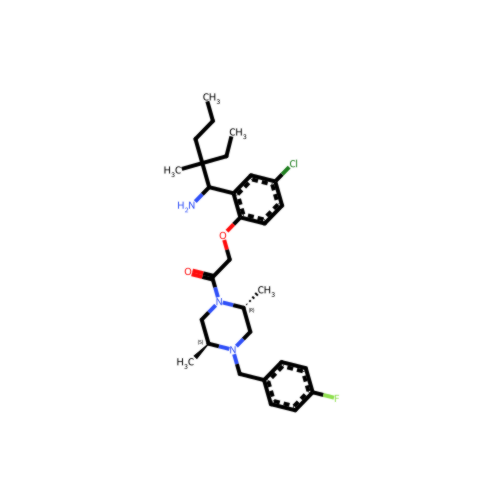 CCCC(C)(CC)C(N)c1cc(Cl)ccc1OCC(=O)N1C[C@H](C)N(Cc2ccc(F)cc2)C[C@H]1C